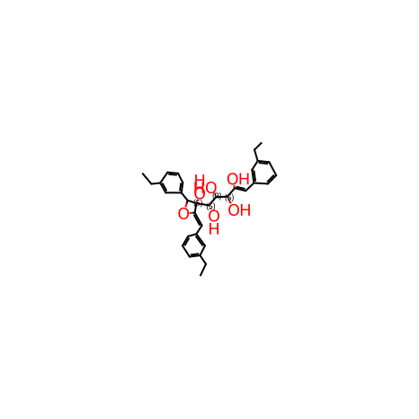 CCc1cccc(C=C(O)[C@@H](O)[C@@H](O)[C@H](O)[C@@]2(O)C(=Cc3cccc(CC)c3)OC2c2cccc(CC)c2)c1